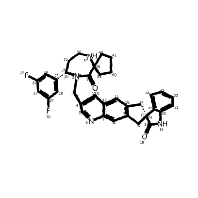 O=C1N(Cc2cnc3cc4c(cc3c2)C[C@@]2(C4)C(=O)Nc3ccccc32)[C@H](c2cc(F)cc(F)c2)CCNC12CCCC2